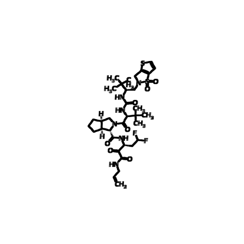 C=CCNC(=O)C(=O)[C@H](CC(F)F)NC(=O)[C@@H]1[C@H]2CCC[C@H]2CN1C(=O)[C@@H](NC(=O)N[C@H](CN1Cc2sccc2S1(=O)=O)C(C)(C)C)C(C)(C)C